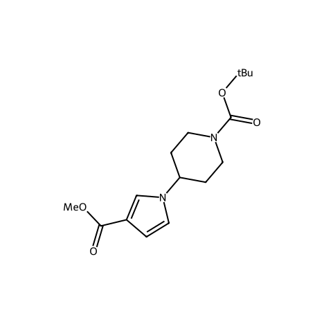 COC(=O)c1ccn(C2CCN(C(=O)OC(C)(C)C)CC2)c1